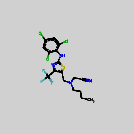 CCCCN(CC#N)Cc1sc(Nc2c(Cl)cc(Cl)cc2Cl)nc1C(F)(F)F